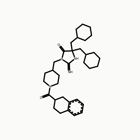 N=C1NC(CC2CCCCC2)(CC2CCCCC2)C(=O)N1CC1CCN(C(=O)C2CCc3ccccc3C2)CC1